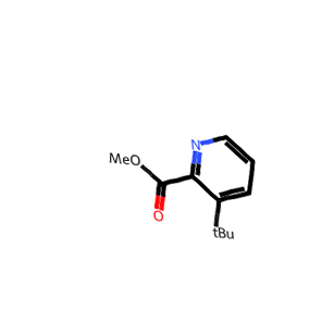 COC(=O)c1ncccc1C(C)(C)C